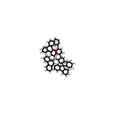 c1ccc(-c2ccc(-c3cc4c(cc3N(c3ccc5c6ccccc6c6ccccc6c5c3)c3cc5ccccc5c5ccccc35)C3(c5ccccc5-c5ccccc53)c3ccccc3-4)cc2)cc1